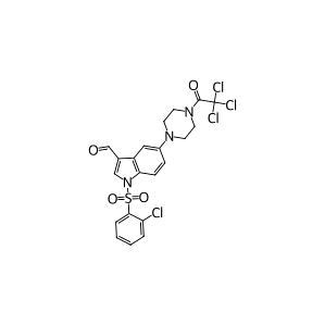 O=Cc1cn(S(=O)(=O)c2ccccc2Cl)c2ccc(N3CCN(C(=O)C(Cl)(Cl)Cl)CC3)cc12